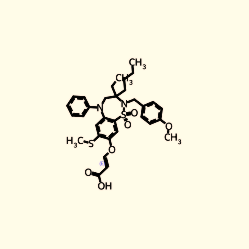 CCCCC1(CC)CN(c2ccccc2)c2cc(SC)c(O/C=C/C(=O)O)cc2S(=O)(=O)N1Cc1ccc(OC)cc1